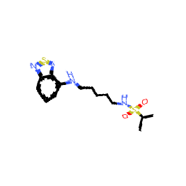 CC(C)S(=O)(=O)NCCCCCNc1cccc2nsnc12